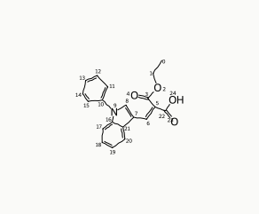 CCOC(=O)C(=Cc1cn(-c2ccccc2)c2ccccc12)C(=O)O